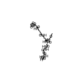 CCCOCCCNC(=O)[C@H](CCC(=O)NCCNC(=O)c1ccc(NNC(=O)C(F)(F)F)nc1)NC(=O)CCCCCNC(=O)CCCCCNC(=O)CCC(=O)ON1C(=O)CCC1=O